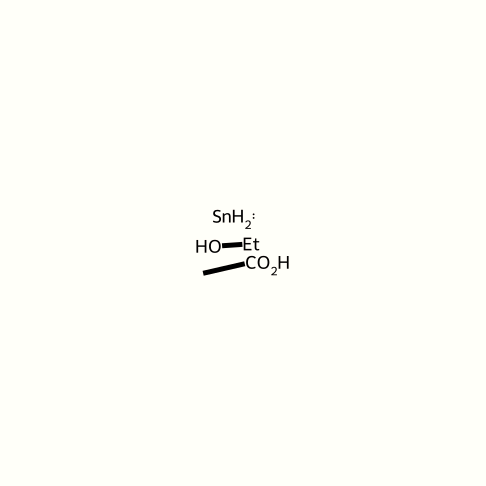 CC(=O)O.CCO.[SnH2]